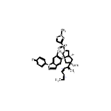 C=C(/C=C\C=C/C)[C@@]1(OC)C[C@@H]2CN(S(=O)(=O)c3cnn(C)n3)C[C@]2(c2cc3cnn(-c4ccc(F)cc4)c3cc2C)C1